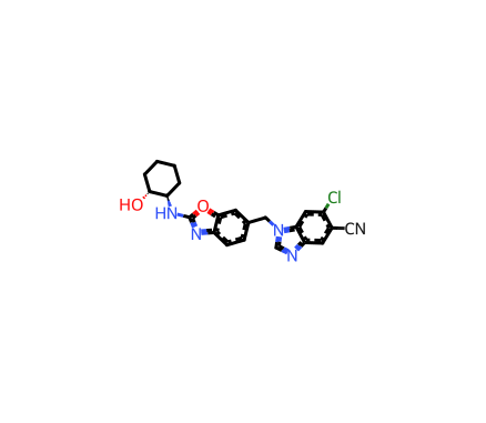 N#Cc1cc2ncn(Cc3ccc4nc(N[C@@H]5CCCC[C@H]5O)oc4c3)c2cc1Cl